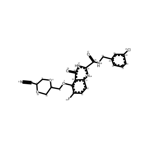 N#CC1COC(COc2c(F)ccc3nc(C(=O)NCc4cccc(Cl)c4)[nH]c(=O)c23)CO1